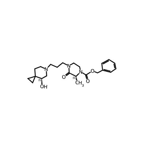 C[C@H]1C(=O)N(CCCN2CCC3(CC3)[C@H](O)C2)CCN1C(=O)OCc1ccccc1